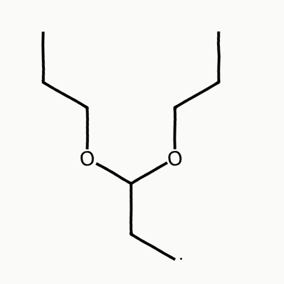 [CH2]CC(OCCC)OCCC